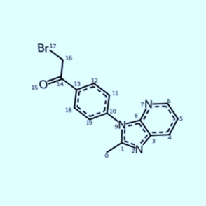 Cc1nc2cccnc2n1-c1ccc(C(=O)CBr)cc1